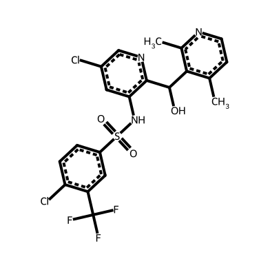 Cc1ccnc(C)c1C(O)c1ncc(Cl)cc1NS(=O)(=O)c1ccc(Cl)c(C(F)(F)F)c1